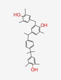 Cc1cc(Cc2cc(C(C)c3ccc(C(C)(C)c4cc(C)c(O)c(C)c4)cc3)cc(C)c2O)cc(C)c1O